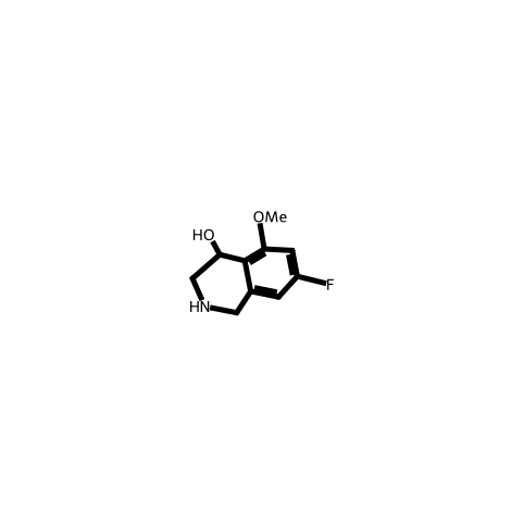 COc1cc(F)cc2c1C(O)CNC2